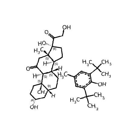 C[C@]12CC[C@@H](O)C[C@H]1CC[C@@H]1[C@@H]2C(=O)C[C@@]2(C)[C@H]1CC[C@]2(O)C(=O)CO.Cc1cc(C(C)(C)C)c(O)c(C(C)(C)C)c1